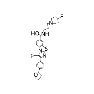 OC(NCCCN1CCC(F)CC1)c1ccc2c(c1)sc1nc(-c3ccc([C@H]4CCCO4)cc3)c(C3CC3)n12